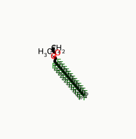 C=C(C)C(=O)OCCC(F)(F)C(F)(F)C(F)(F)C(F)(F)C(F)(F)C(F)(F)C(F)(F)C(F)(F)C(F)(F)C(F)(F)C(F)(F)C(F)(F)C(F)(F)C(F)(F)F